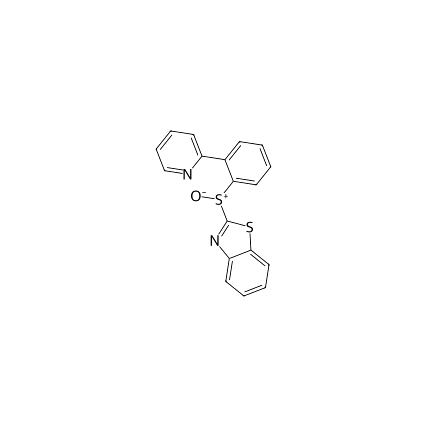 [O-][S+](c1nc2ccccc2s1)c1ccccc1-c1ccccn1